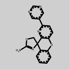 NC1=NC2(CO1)c1ccccc1Oc1ccc(-c3cncnc3)nc12